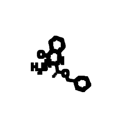 Bn1c([C@@H](C)OCc2ccccc2)nc2ccccc2c1=O